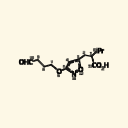 CC(C)C(Cc1cc(OCCCC=O)no1)C(=O)O